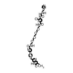 CCc1cc2ncc(CN3CCN(c4ccc(C(=O)NCCOCCOCCOCCOCCNC(=O)c5ccc(NC(=O)CNCCn6ccnn6)c(Cl)n5)nc4)CC3)cc2[nH]c1=O